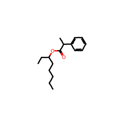 CCCCCC(CC)OC(=O)C(C)c1ccccc1